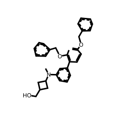 C=C(/C=C\C(=C(/C)OCc1ccccc1)c1cccc(N(C)C2CC(CO)C2)c1)OCc1ccccc1